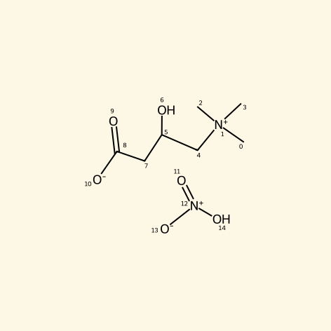 C[N+](C)(C)CC(O)CC(=O)[O-].O=[N+]([O-])O